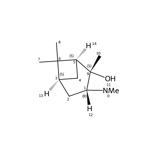 CN[C@@H]1C[C@@H]2C[C@@H](C2(C)C)[C@]1(C)O